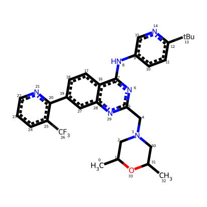 CC1CN(Cc2nc(Nc3ccc(C(C)(C)C)nc3)c3ccc(-c4ncccc4C(F)(F)F)cc3n2)CC(C)O1